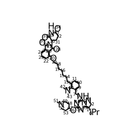 CC(C)c1cnn2c(NCc3cccc(CCCCCCCOc4cccc5c4C(=O)N(C4CCC(=O)NC4=O)C5=O)c3N(C)C)nc(OC3CCN(C)CC3)nc12